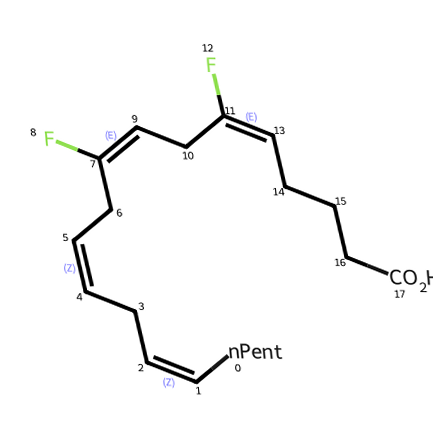 CCCCC/C=C\C/C=C\C/C(F)=C\C/C(F)=C\CCCC(=O)O